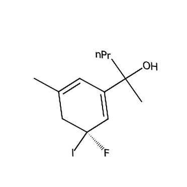 CCCC(C)(O)C1=C[C@@](F)(I)CC(C)=C1